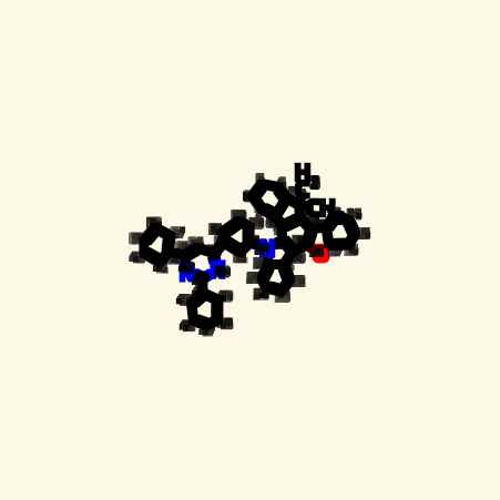 CC1(C)c2ccccc2-c2c1c1c3ccccc3oc1c1c3ccccc3n(-c3cccc(-c4cc(-c5ccccc5)nc(-c5ccccc5)n4)c3)c21